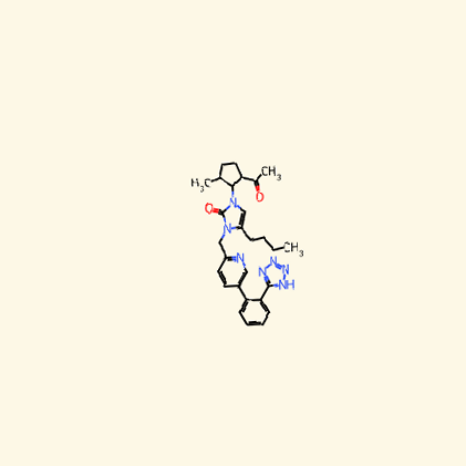 CCCCc1cn(C2C(C)CCC2C(C)=O)c(=O)n1Cc1ccc(-c2ccccc2-c2nnn[nH]2)cn1